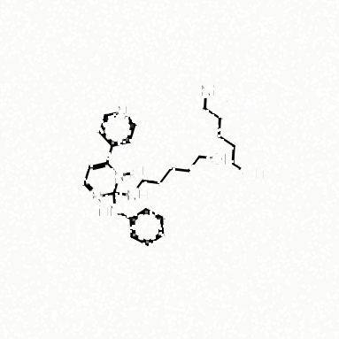 NCCCCCO.OCCCCCNC1(Nc2ccccc2)N=CC=C(c2ccncc2)N1Cl